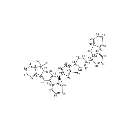 CC1(C)c2ccccc2-c2cc3c4ccccc4n(-c4ccc5c(c4)Cc4cc(-c6cccc7c6Cc6ccccc6-7)ccc4-5)c3cc21